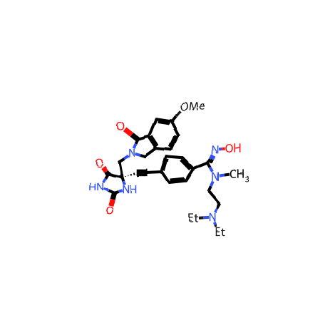 CCN(CC)CCN(C)C(=NO)c1ccc(C#C[C@]2(CN3Cc4ccc(OC)cc4C3=O)NC(=O)NC2=O)cc1